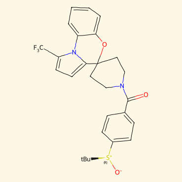 CC(C)(C)[S@+]([O-])c1ccc(C(=O)N2CCC3(CC2)Oc2ccccc2-n2c(C(F)(F)F)ccc23)cc1